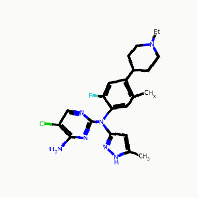 CCN1CCC(c2cc(F)c(N(c3cc(C)[nH]n3)c3ncc(Cl)c(N)n3)cc2C)CC1